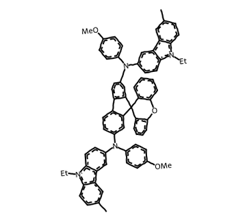 CCn1c2ccc(C)cc2c2cc(N(c3ccc(OC)cc3)c3ccc4c(c3)C3(c5ccccc5Oc5ccccc53)c3cc(N(c5ccc(OC)cc5)c5ccc6c(c5)c5cc(C)ccc5n6CC)ccc3-4)ccc21